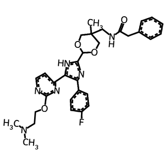 CN(C)CCOc1nccc(-c2[nH]c(C3OCC(C)(CNC(=O)Cc4ccccc4)CO3)nc2-c2ccc(F)cc2)n1